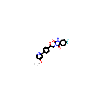 COc1ccnc(-c2ccc(C(=O)CN3C(=O)NC4(CCC(F)(F)CC4)C3=O)cc2)c1